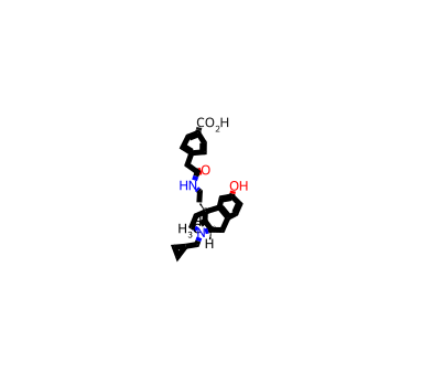 C[C@H]1[C@H]2Cc3ccc(O)cc3[C@]1(CCNC(=O)Cc1ccc(C(=O)O)cc1)CCN2CC1CC1